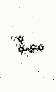 Cc1ccc(NC(=O)c2cccc(C(F)(F)F)c2)cc1C=Cn1cnc2c(Nc3cccnc3)ncnc21